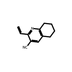 C=Cc1nc2c(cc1C#N)CCCC2